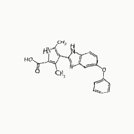 Cc1[nH]c(C(=O)O)c(C)c1-c1nc2cc(Oc3ccccc3)ccc2[nH]1